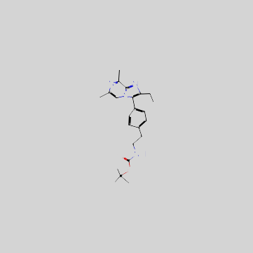 CCc1nc2c(C)nc(C)cn2c1-c1ccc(CCNC(=O)OC(C)(C)C)cc1